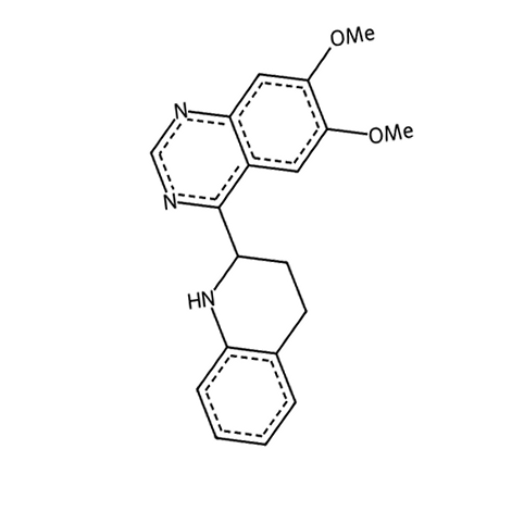 COc1cc2ncnc(C3CCc4ccccc4N3)c2cc1OC